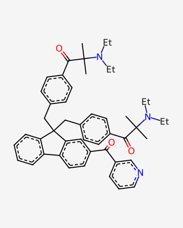 CCN(CC)C(C)(C)C(=O)c1ccc(CC2(Cc3ccc(C(=O)C(C)(C)N(CC)CC)cc3)c3ccccc3-c3ccc(C(=O)c4cccnc4)cc32)cc1